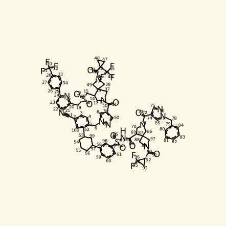 N#Cc1ccc(Cn2cc(C(=O)N3CC(CS(=O)(=O)Cc4cccc(-c5ccc(C(F)(F)F)cc5)n4)C4(C3)CN(C(=O)C3(C(F)(F)F)CC3)C4)cn2)c(C2CCCC(c3cccc(S(=O)(=O)NC(=O)C4CN(C(=O)c5cnn(Cc6ccccc6)c5)CC45CN(C(=O)[C@H]4CC4(F)F)C5)c3)C2)c1